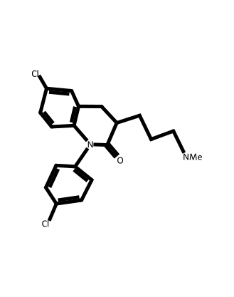 CNCCCC1Cc2cc(Cl)ccc2N(c2ccc(Cl)cc2)C1=O